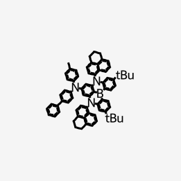 Cc1ccc(N(c2ccc(-c3ccccc3)cc2)c2cc3c4c(c2)N(c2ccc5c6c(cccc26)CCC5)c2cc(C(C)(C)C)ccc2B4c2ccc(C(C)(C)C)cc2N3c2ccc3c4c(cccc24)CCC3)cc1